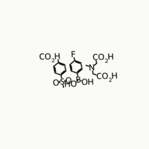 CN(CC(=O)O)CC(=O)O.CS(=O)(=O)c1ccc(C(=O)O)cc1.OB(O)c1ccc(F)cc1